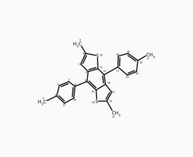 Cc1ccc(-c2c3cc(C)sc3c(-c3ccc(C)cc3)c3cc(C)sc23)cc1